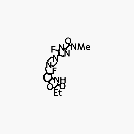 CC[C@@H]1Oc2ccc(CN3CCN(c4cnc(C(=O)NC)nc4F)CC3)c(F)c2NC1=O